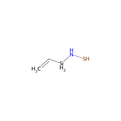 C=C[SiH2]NS